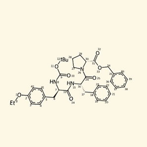 CCOc1ccc(C[C@@H](NC(=O)OC(C)(C)C)C(=O)N[C@@H](Cc2ccccc2)C(=O)N2CCC[C@@H]2C(=O)OCc2ccccc2)cc1